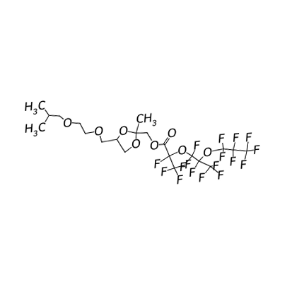 CC(C)COCCOCC1COC(C)(COC(=O)C(F)(OC(F)(F)C(F)(OC(F)(F)C(F)(F)C(F)(F)F)C(F)(F)F)C(F)(F)F)O1